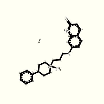 C[N+]1(CCCOc2ccc3ccc(=O)[nH]c3c2)CCC(c2ccccc2)CC1.[I-]